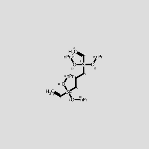 C=C[Si](CCC[Si](C=C)(OCCC)OCCC)(OCCC)OCCC